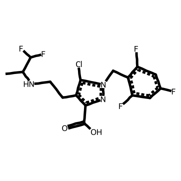 CC(NCCc1c(C(=O)O)nn(Cc2c(F)cc(F)cc2F)c1Cl)C(F)F